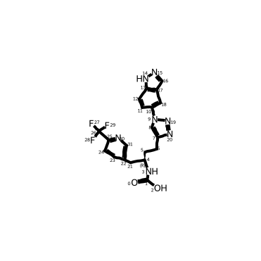 O=C(O)N[C@H](CCc1cn(-c2ccc3[nH]ncc3c2)nn1)Cc1ccc(C(F)(F)F)nc1